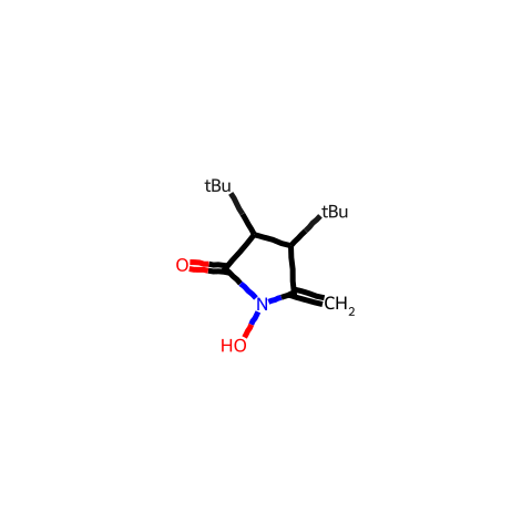 C=C1C(C(C)(C)C)C(C(C)(C)C)C(=O)N1O